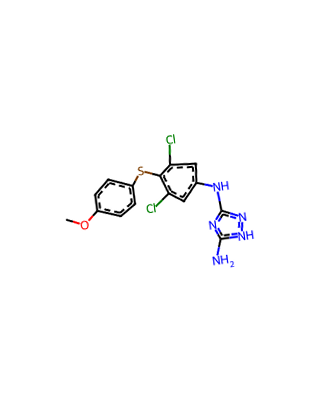 COc1ccc(Sc2c(Cl)cc(Nc3n[nH]c(N)n3)cc2Cl)cc1